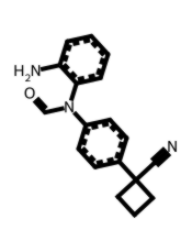 N#CC1(c2ccc(N(C=O)c3ccccc3N)cc2)CCC1